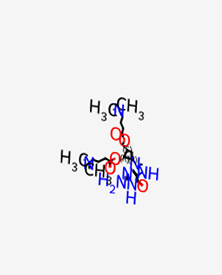 CN(C)CCCC(=O)OC[C@H]1C[C@@H](N2CNc3c2nc(N)[nH]c3=O)[C@@H]1COC(=O)CCCN(C)C